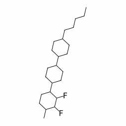 CCCCCC1CCC(C2CCC(C3CCC(C)C(F)C3F)CC2)CC1